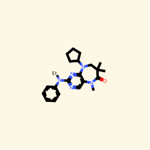 CCN(c1ccccc1)c1ncc2c(n1)N(C1CCCC1)CC(C)(C)C(=O)N2C